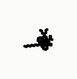 CCCCCCCCn1c(C)c(C2(c3ccc(N(CCC)CCC)cc3NC(C)=O)OC(=O)c3cccnc32)c2ccccc21